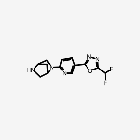 FC(F)c1nnc(-c2ccc(N3CC4CC3CN4)nc2)o1